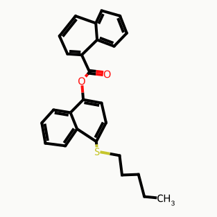 CCCCCSc1ccc(OC(=O)c2cccc3ccccc23)c2ccccc12